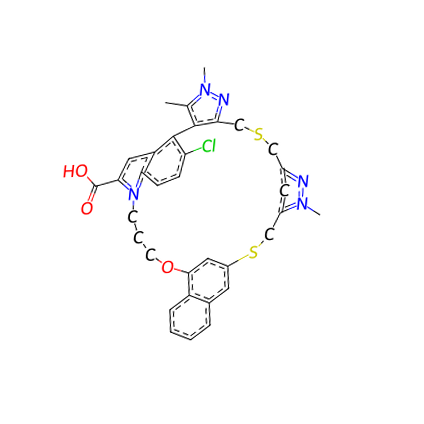 Cc1c2c(nn1C)CSCc1cc(n(C)n1)CSc1cc(c3ccccc3c1)OCCCn1c(C(=O)O)cc3c-2c(Cl)ccc31